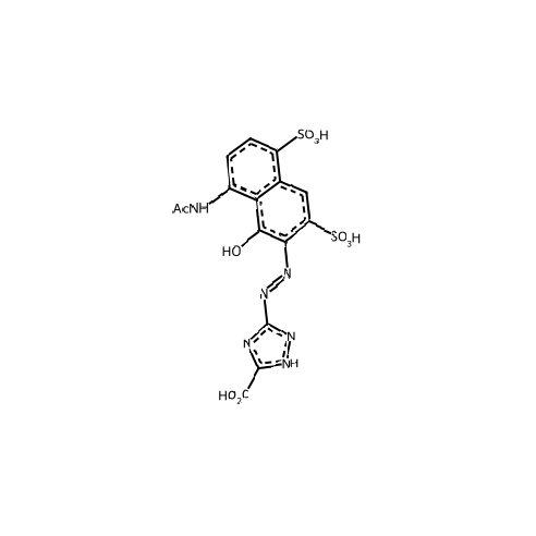 CC(=O)Nc1ccc(S(=O)(=O)O)c2cc(S(=O)(=O)O)c(N=Nc3n[nH]c(C(=O)O)n3)c(O)c12